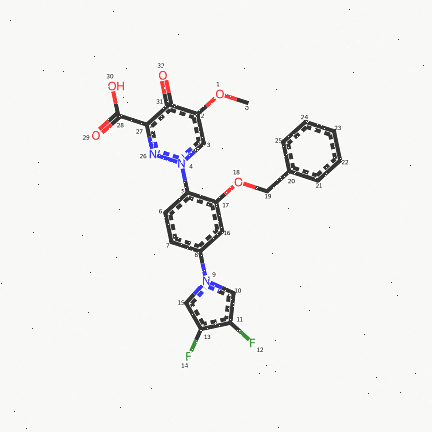 COc1cn(-c2ccc(-n3cc(F)c(F)c3)cc2OCc2ccccc2)nc(C(=O)O)c1=O